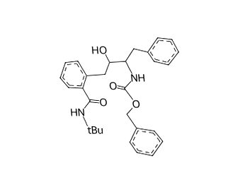 CC(C)(C)NC(=O)c1ccccc1CC(O)C(Cc1ccccc1)NC(=O)OCc1ccccc1